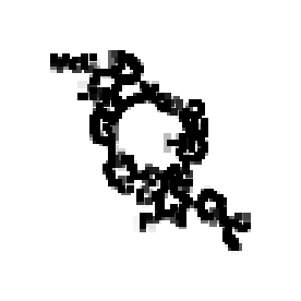 C=CC(=O)N1CC[C@H](C(=O)N(C)[C@H](C(=O)N[C@H]2C[C@@H]3CN(CCO3)c3ccc4c(n3)c(c(-c3cccnc3[C@H](C)OC)n4CC)CC(C)(C)COC(=O)[C@@H]3CCCN(N3)C2=O)C(C)C)C1